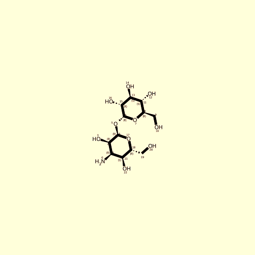 N[C@H]1[C@@H](O)[C@@H](O[C@H]2O[C@H](CO)[C@@H](O)[C@H](O)[C@H]2O)O[C@H](CO)[C@H]1O